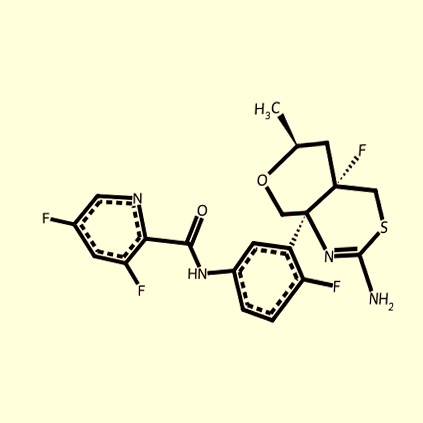 C[C@H]1C[C@@]2(F)CSC(N)=N[C@@]2(c2cc(NC(=O)c3ncc(F)cc3F)ccc2F)CO1